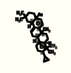 CC(=O)[C@]12CCC(C)(C)C[C@H]1C1=CC[C@@H]3[C@@]4(C)CC[C@H](C5CC5)C(C)(C)[C@@H]4CC[C@@]3(C)[C@]1(C)CC2